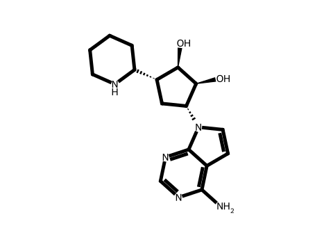 Nc1ncnc2c1ccn2[C@@H]1C[C@H](C2CCCCN2)[C@@H](O)[C@H]1O